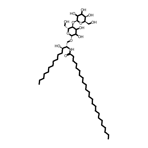 CCCCCCCCCCCCCCCCCCCCCCCCC(=O)N[C@@H](CO[C@@H]1O[C@H](CO)[C@@H](O[C@@H]2O[C@H](CO)[C@H](O)C(O)C2O)C(O)C1O)[C@H](O)CCCCCCCCCCC